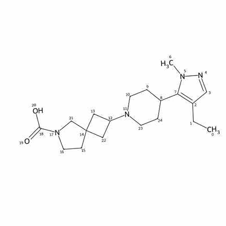 CCc1cnn(C)c1C1CCN(C2CC3(CCN(C(=O)O)C3)C2)CC1